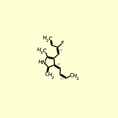 C=C/C(F)=C\c1c(C)[nH]c(=C)/c1=C\C=C/C